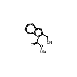 CC(C)(C)OC(=O)n1c(CC#N)cc2ccccc21